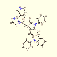 c1ccc(-n2c3ccccc3c3cc4c(cc32)c2cc3c(cc2n4-c2ccccc2)c2ccncc2c2nccn32)cc1